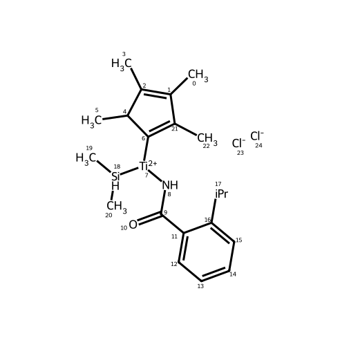 CC1=C(C)C(C)[C]([Ti+2]([NH]C(=O)c2ccccc2C(C)C)[SiH](C)C)=C1C.[Cl-].[Cl-]